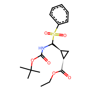 CCOC(=O)[C@H]1C[C@@H]1C(NC(=O)OC(C)(C)C)S(=O)(=O)c1ccccc1